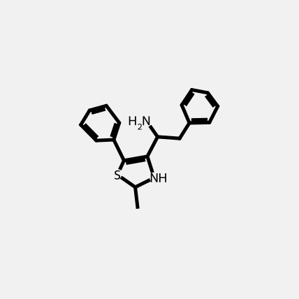 CC1NC(C(N)Cc2ccccc2)=C(c2ccccc2)S1